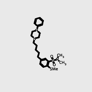 CSc1ccc(CCCCCN2CCN(c3ccccc3)CC2)cc1S(=O)(=O)N(C)C